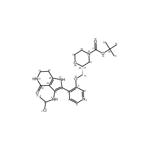 CC(Cl)Nc1c(-c2ccncc2OC[C@H]2CN(C(=O)OC(C)(C)C)CCO2)[nH]c2c1C(=O)NCC2